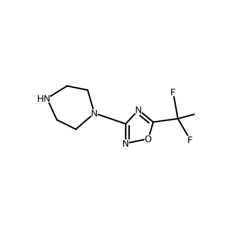 CC(F)(F)c1nc(N2CCNCC2)no1